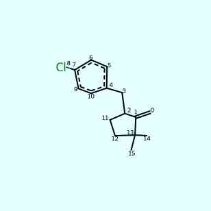 C=C1C(Cc2ccc(Cl)cc2)CCC1(C)C